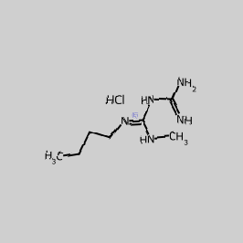 CCCC/N=C(\NC)NC(=N)N.Cl